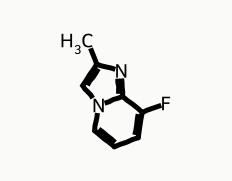 Cc1cn2cccc(F)c2n1